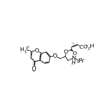 Cc1cc(=O)c2ccc(OCC(CNC(C)C)OC(=O)/C=C\C(=O)O)cc2o1